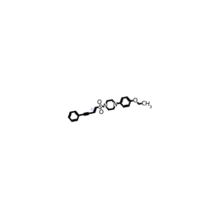 CCOc1ccc(N2CCN(S(=O)(=O)/C=C/C#Cc3ccccc3)CC2)cc1